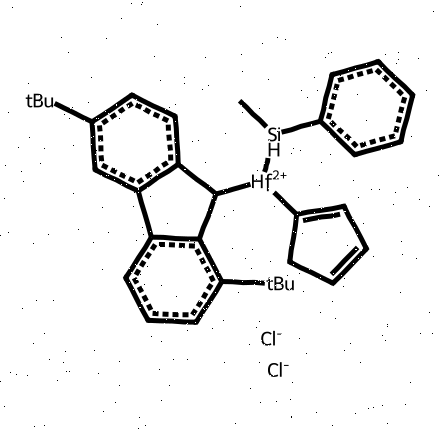 C[SiH](c1ccccc1)[Hf+2]([C]1=CC=CC1)[CH]1c2ccc(C(C)(C)C)cc2-c2cccc(C(C)(C)C)c21.[Cl-].[Cl-]